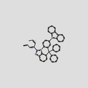 C=C/C=C(\C=C/C)c1nc2cccc3c2n1-c1ccc(-n2c4ccccc4c4ccccc42)cc1C3(c1ccccc1)c1ccccc1